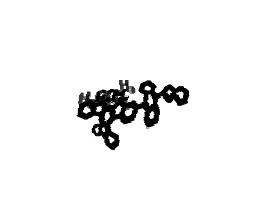 CC1(C)c2ccccc2-c2c1c1c(c3c2oc2ccccc23)-c2ccc(-c3c4ccccc4c(-c4ccc5ccccc5c4)c4ccccc34)cc2C1(C)C